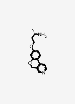 C[C@H](N)CCOc1ccc2c(c1)OCc1cnccc1-2